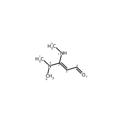 CN/C(=C\C=O)N(C)C